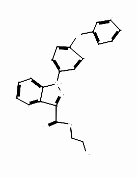 O=C(NCCO)c1nn(-c2ccc(Oc3ccccc3)cc2)c2ccccc12